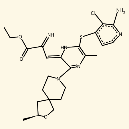 CCOC(=O)C(=N)/C=C1\NC(Sc2ccnc(N)c2Cl)=C(C)N=C1N1CCC2(CC1)CO[C@@H](C)C2